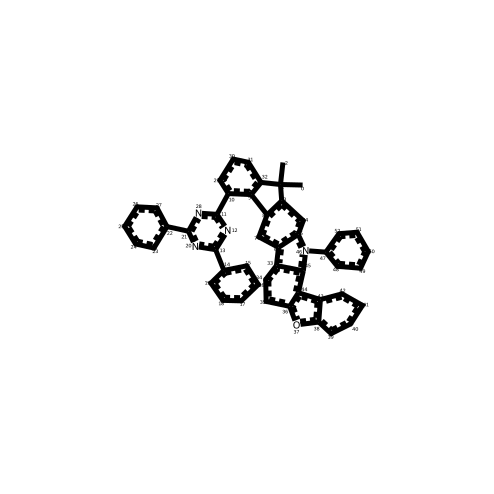 CC1(C)c2cc3c(cc2-c2c(-c4nc(-c5ccccc5)nc(-c5ccccc5)n4)cccc21)c1ccc2oc4ccccc4c2c1n3-c1ccccc1